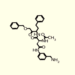 CC(=O)N[C@@H](CC(=O)Nc1cccc(CN)c1)C(=O)NC(CCc1ccccc1)C(=O)COCc1ccccc1